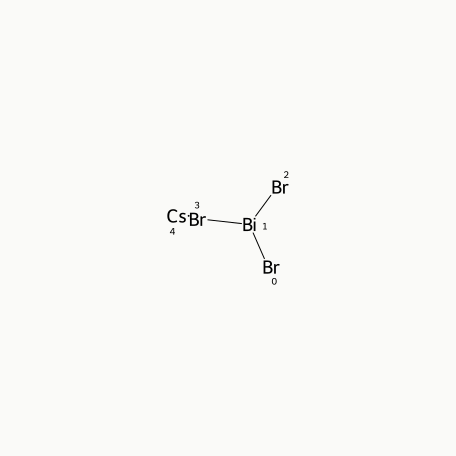 [Br][Bi]([Br])[Br].[Cs]